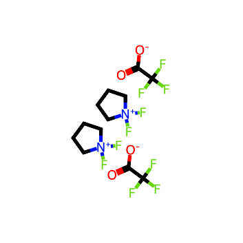 F[N+]1(F)CCCC1.F[N+]1(F)CCCC1.O=C([O-])C(F)(F)F.O=C([O-])C(F)(F)F